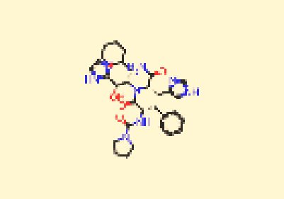 NC(=O)[C@H](Cc1c[nH]cn1)N(C(=O)[C@H](Cc1ccccc1)NC(=O)N1CCCC1)[C@@H](CC1CCCCC1)[C@@H](O)c1ncc[nH]1